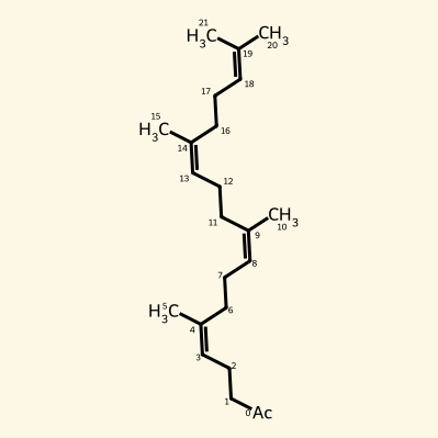 CC(=O)CC/C=C(/C)CC/C=C(/C)CC/C=C(/C)CCC=C(C)C